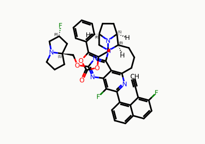 C#Cc1c(F)ccc2cccc(-c3nc4c5c(nc(OC[C@@]67CCCN6C[C@H](F)C7)nc5c3F)N3C[C@H]5CC[C@@H]([C@H]3CCC4)N5Cc3oc(=O)oc3-c3ccccc3)c12